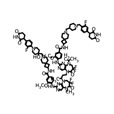 COc1cc(C(=O)NC2CC3(CCN(CC4CCN(Cc5ccc(C6CCC(=O)NC6=O)cc5F)CC4)CC3)C2)ccc1Nc1ncc2c(n1)N(C(C)C)CC(F)(F)C(=O)N2CCC(C)N1CC(F)(F)C(=O)N(C)c2cnc(Nc3ccc(C(=O)NC4CC5(CCN(CC6(O)CCN(c7ccc(C8CCC(=O)NC8=O)cc7F)CC6)CC5)C4)cc3OC)nc21